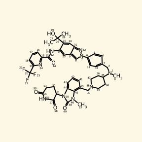 CN(Cc1ccc(-n2cc3cc(NC(=O)c4cccc(C(F)(F)F)n4)c(C(C)(C)O)cc3n2)cc1)C1CCN(Cc2cccc3c2n(C)c(=O)n3C2CCC(=O)NC2=O)CC1